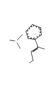 BC/C=C(\C)c1ccccc1.CN(C)C